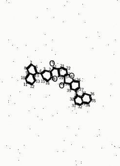 O=c1c2cc(-c3cccc4ccccc34)ccc2oc2c1ccc1oc3ccc(-c4cccc5ccccc45)cc3c(=O)c12